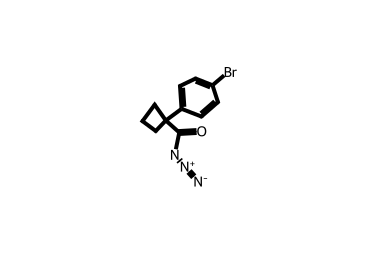 [N-]=[N+]=NC(=O)C1(c2ccc(Br)cc2)CCC1